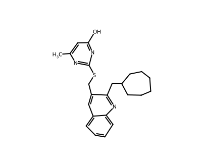 Cc1cc(O)nc(SCc2cc3ccccc3nc2CC2CCCCCC2)n1